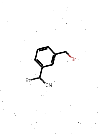 CCC(C#N)c1cccc(CBr)c1